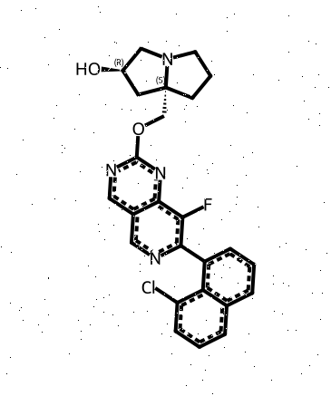 O[C@H]1CN2CCC[C@@]2(COc2ncc3cnc(-c4cccc5cccc(Cl)c45)c(F)c3n2)C1